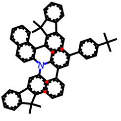 CC(C)(C)c1ccc(-c2ccc(N(c3ccc4c(c3)-c3ccccc3C4(C)C)c3ccc4ccccc4c3-c3cccc4c3C(C)(C)c3ccccc3-4)c(-c3ccccc3)c2)cc1